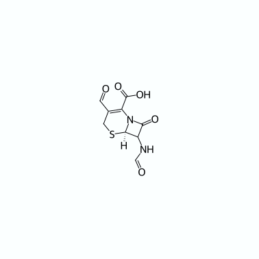 O=CNC1C(=O)N2C(C(=O)O)=C(C=O)CS[C@H]12